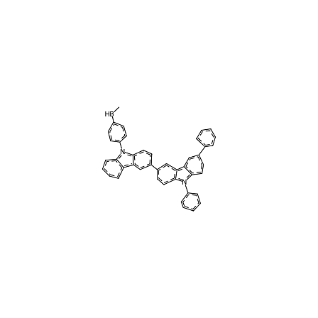 CBc1ccc(-n2c3ccccc3c3cc(-c4ccc5c(c4)c4cc(-c6ccccc6)ccc4n5-c4ccccc4)ccc32)cc1